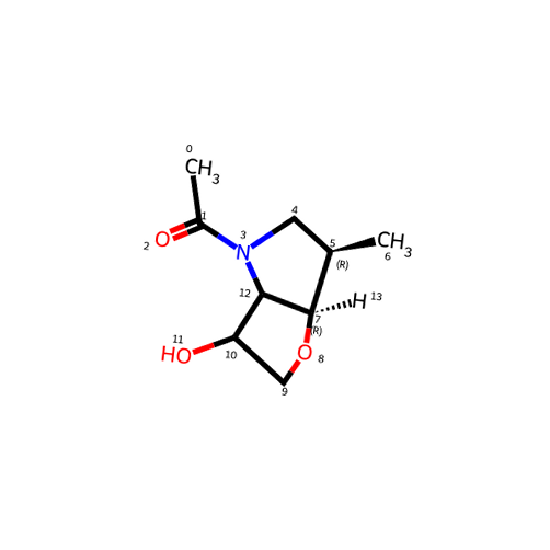 CC(=O)N1C[C@@H](C)[C@H]2OCC(O)C21